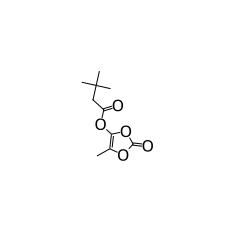 Cc1oc(=O)oc1OC(=O)CC(C)(C)C